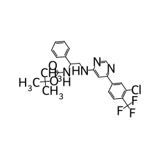 CC(C)(C)OC(=O)NC(CNc1cc(-c2ccc(C(F)(F)F)c(Cl)c2)ncn1)c1ccccc1